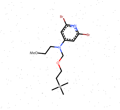 COCCN(COCC[Si](C)(C)C)c1cc(Br)nc(Br)c1